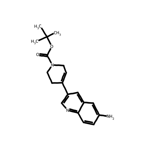 CC(C)(C)OC(=O)N1CC=C(c2cnc3ccc(N)cc3c2)CC1